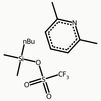 CCCC[Si](C)(C)OS(=O)(=O)C(F)(F)F.Cc1cccc(C)n1